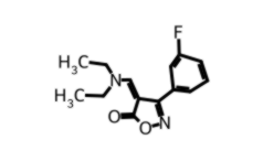 CCN(/C=C1\C(=O)ON=C1c1cccc(F)c1)CC